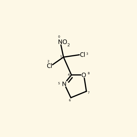 O=[N+]([O-])C(Cl)(Cl)C1=NCCO1